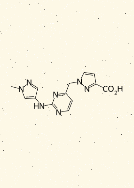 Cn1cc(Nc2nccc(Cn3ccc(C(=O)O)n3)n2)cn1